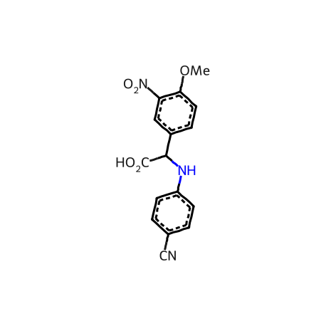 COc1ccc(C(Nc2ccc(C#N)cc2)C(=O)O)cc1[N+](=O)[O-]